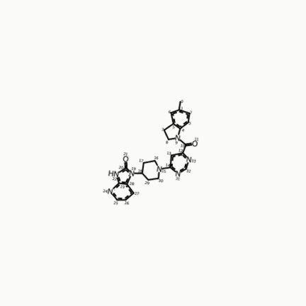 Cc1ccc2c(c1)CCN2C(=O)c1cc(N2CCC(n3c(=O)[nH]c4ncccc43)CC2)ncn1